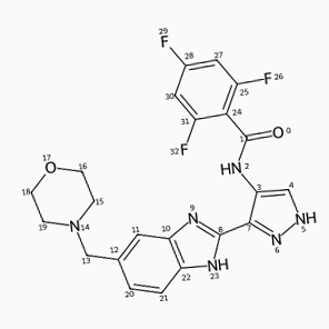 O=C(Nc1c[nH]nc1-c1nc2cc(CN3CCOCC3)ccc2[nH]1)c1c(F)cc(F)cc1F